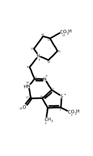 Cc1c(C(=O)O)sc2nc(CN3CCC(C(=O)O)CC3)[nH]c(=O)c12